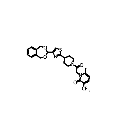 Cc1ccc(C(F)(F)F)c(=O)n1CC(=O)N1CCC(c2nc(C3OCc4ccccc4CO3)cs2)CC1